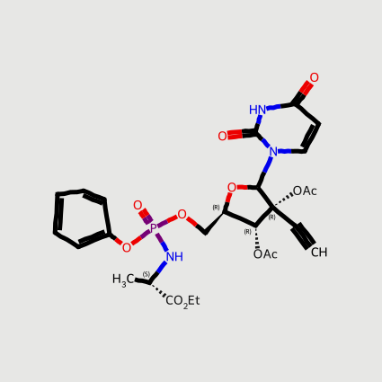 C#C[C@]1(OC(C)=O)C(n2ccc(=O)[nH]c2=O)O[C@H](COP(=O)(N[C@@H](C)C(=O)OCC)Oc2ccccc2)[C@H]1OC(C)=O